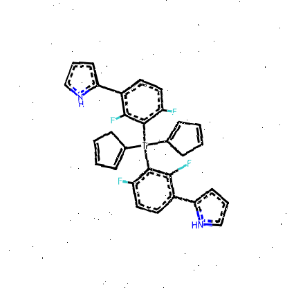 Fc1ccc(-c2ccc[nH]2)c(F)[c]1[Ti]([C]1=CC=CC1)([C]1=CC=CC1)[c]1c(F)ccc(-c2ccc[nH]2)c1F